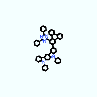 c1ccc(-c2nc(-c3ccccc3)nc(-c3cc(-c4ccc5c(c4)c4cc6c7ccccc7n(-c7ccccc7)c6cc4n5-c4ccccc4)cc4c5ccccc5c5ccccc5c34)n2)cc1